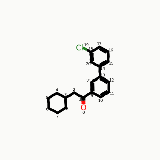 O=C(CC1CCCCC1)c1cccc(-c2cccc(Cl)c2)c1